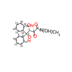 CN(O)C(=O)C(=O)CC(O)(c1ccccc1)c1ccccc1O